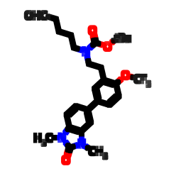 Cn1c(=O)n(C)c2cc(-c3ccc(OC(F)(F)F)c(CCN(CCCCC=O)C(=O)OC(C)(C)C)c3)ccc21